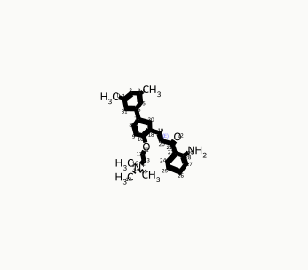 Cc1cc(C)cc(-c2ccc(OCC[N+](C)(C)C)c(/C=C/C(=O)c3ccccc3N)c2)c1